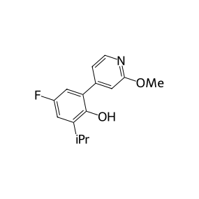 COc1cc(-c2cc(F)cc(C(C)C)c2O)ccn1